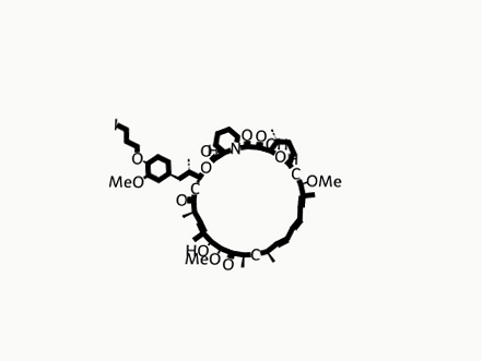 CO[C@H]1C[C@@H]2CC[C@@H](C)[C@@](O)(O2)C(=O)C(=O)N2CCCC[C@H]2C(=O)O[C@H]([C@@H](C)C[C@@H]2CC[C@@H](OCCCI)[C@H](OC)C2)CC(=O)[C@H](C)/C=C(\C)[C@@H](O)[C@@H](OC)C(=O)[C@H](C)C[C@H](C)/C=C/C=C/C=C/1C